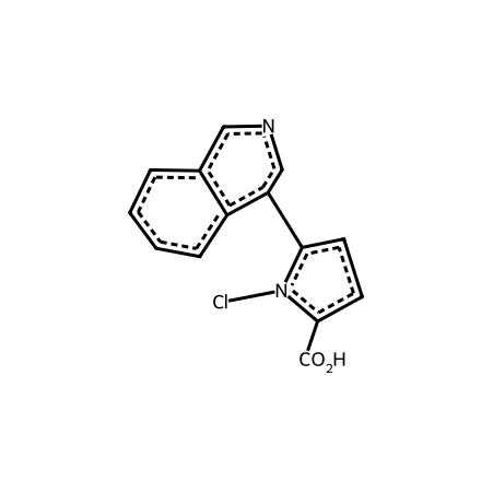 O=C(O)c1ccc(-c2cncc3ccccc23)n1Cl